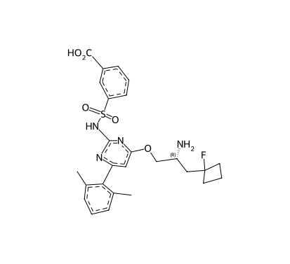 Cc1cccc(C)c1-c1cc(OC[C@H](N)CC2(F)CCC2)nc(NS(=O)(=O)c2cccc(C(=O)O)c2)n1